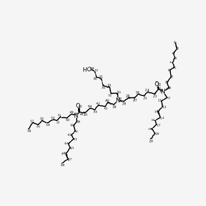 CCCCCCCCCCN(CCCCCCCCCC)C(=O)CCCCCCCN(CCCCCCCO)CCCCCCCC(=O)N(CCCCCCCCCC)CCCCCCCCCC